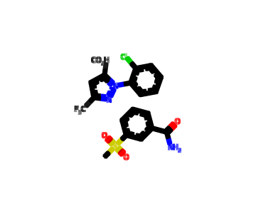 CS(=O)(=O)c1cccc(C(N)=O)c1.O=C(O)c1cc(C(F)(F)F)nn1-c1ccccc1Cl